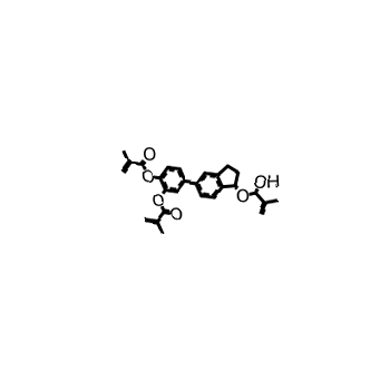 C=C(C)C(=O)Oc1ccc(-c2ccc3c(c2)CCC3OC(O)C(=C)C)cc1OC(=O)C(=C)C